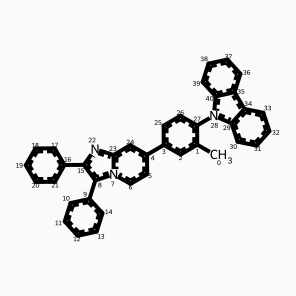 Cc1cc(-c2ccn3c(-c4ccccc4)c(-c4ccccc4)nc3c2)ccc1-n1c2ccccc2c2ccccc21